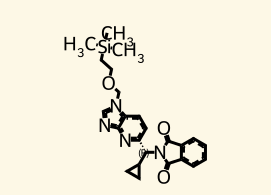 C[Si](C)(C)CCOCn1cnc2nc([C@@H](C3CC3)N3C(=O)c4ccccc4C3=O)ccc21